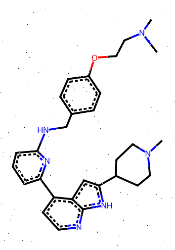 CN(C)CCOc1ccc(CNc2cccc(-c3ccnc4[nH]c(C5CCN(C)CC5)cc34)n2)cc1